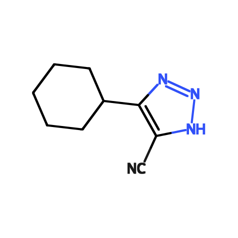 N#Cc1[nH]nnc1C1CCCCC1